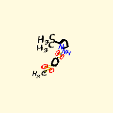 CC(C)c1cccc(NS(=O)(=O)c2ccc(S(C)(=O)=O)cc2)n1